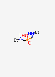 CCNCP(=O)(O)CNCC